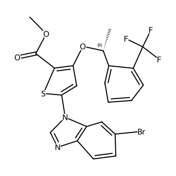 COC(=O)c1sc(-n2cnc3ccc(Br)cc32)cc1O[C@H](C)c1ccccc1C(F)(F)F